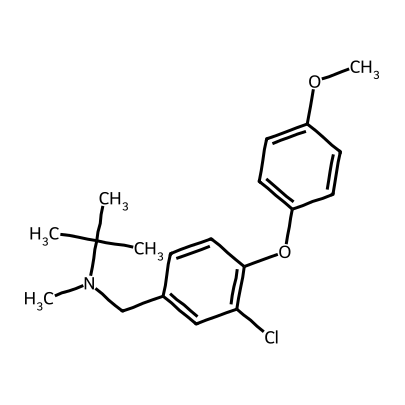 COc1ccc(Oc2ccc(CN(C)C(C)(C)C)cc2Cl)cc1